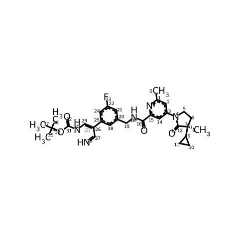 Cc1cc(N2CC[C@@](C)(C3CC3)C2=O)cc(C(=O)NCc2cc(F)cc(/C(C=N)=C/NC(=O)OC(C)(C)C)c2)n1